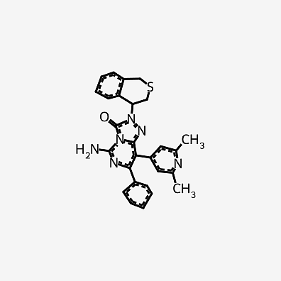 Cc1cc(-c2c(-c3ccccc3)nc(N)n3c(=O)n(C4CSCc5ccccc54)nc23)cc(C)n1